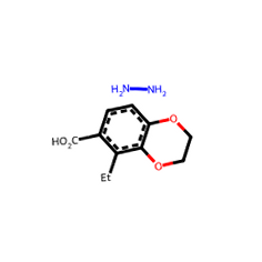 CCc1c(C(=O)O)ccc2c1OCCO2.NN